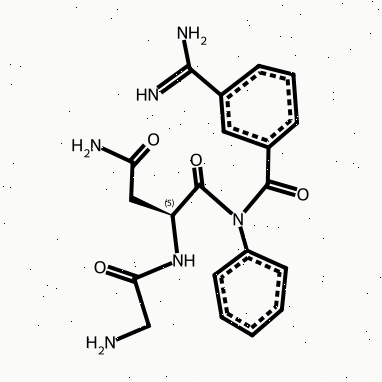 N=C(N)c1cccc(C(=O)N(C(=O)[C@H](CC(N)=O)NC(=O)CN)c2ccccc2)c1